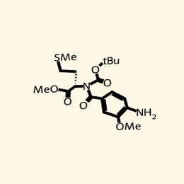 COC(=O)[C@H](CCSC)N(C(=O)OC(C)(C)C)C(=O)c1ccc(N)c(OC)c1